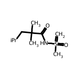 C=S(C)(=O)NC(=O)C(C)(C)CC(C)C